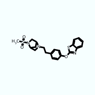 CS(=O)(=O)N1CC2CC1CN2CCc1ccc(Oc2nc3ccccc3s2)cc1